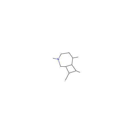 CC1CCN(C)CC2C(C)C(C)C12